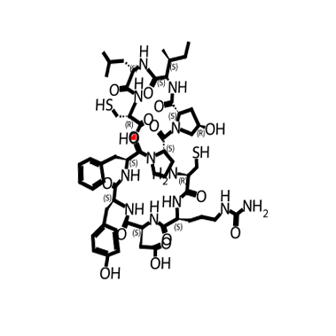 CC[C@H](C)[C@H](NC(=O)[C@@H]1C[C@@H](O)CN1C(=O)[C@@H]1CCCN1C(=O)[C@H](Cc1ccccc1)NC(=O)[C@H](Cc1ccc(O)cc1)NC(=O)[C@H](CC(=O)O)NC(=O)[C@H](CCCNC(N)=O)NC(=O)[C@@H](N)CS)C(=O)N[C@@H](CC(C)C)C(=O)N[C@@H](CS)C(=O)O